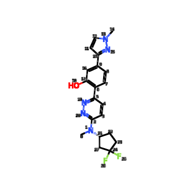 CN(c1ccc(-c2ccc(-c3ccn(C)n3)cc2O)nn1)[C@@H]1CCC(F)(F)C1